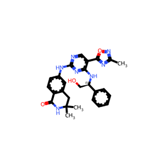 Cc1noc(-c2cnc(Nc3ccc4c(c3)CC(C)(C)NC4=O)nc2N[C@H](CO)c2ccccc2)n1